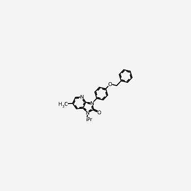 Cc1cnc2c(c1)n(C(C)C)c(=O)n2-c1ccc(OCc2ccccc2)cc1